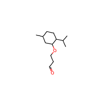 CC1CCC(C(C)C)C(OCCC=O)C1